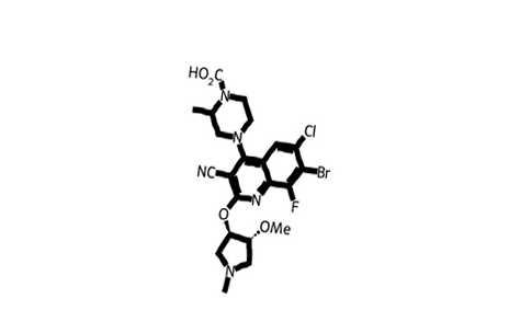 CO[C@@H]1CN(C)C[C@H]1Oc1nc2c(F)c(Br)c(Cl)cc2c(N2CCN(C(=O)O)C(C)C2)c1C#N